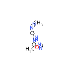 Cc1ccc(-n2cc(-c3ccc(CN4CCN(C)CC4)cc3)nn2)cc1Oc1ncccn1